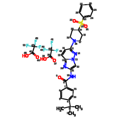 CC(C)(C)c1ccc(C(=O)Nc2cn3nc(N4CCC(S(=O)(=O)c5ccccc5)CC4)ccc3n2)cc1.O=C(O)C(F)(F)F.O=C(O)C(F)(F)F